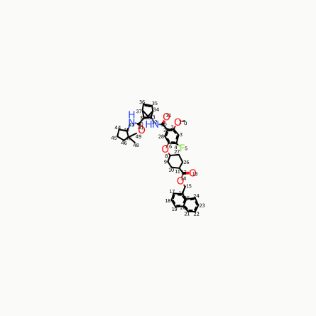 COc1cc(F)c(OC2CCC(C(=O)OCc3cccc4ccccc34)CC2)cc1C(=O)NC1C2C=CC(C2)C1C(=O)NC1CCCC1(C)C